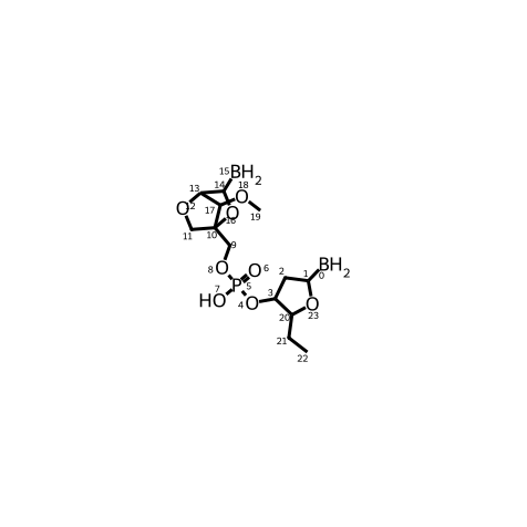 BC1CC(OP(=O)(O)OCC23COC(C(B)O2)C3OC)C(CC)O1